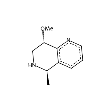 CO[C@H]1CN[C@H](C)c2cccnc21